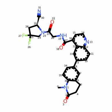 CN1C(=O)CCc2cc(-c3ccc4nccc(C(=O)NCC(=O)N5CC(F)(F)C[C@H]5C#N)c4c3)ccc21